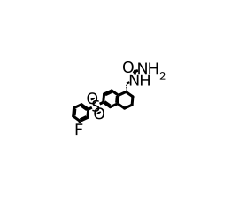 NC(=O)NC[C@@H]1CCCc2cc(S(=O)(=O)c3cccc(F)c3)ccc21